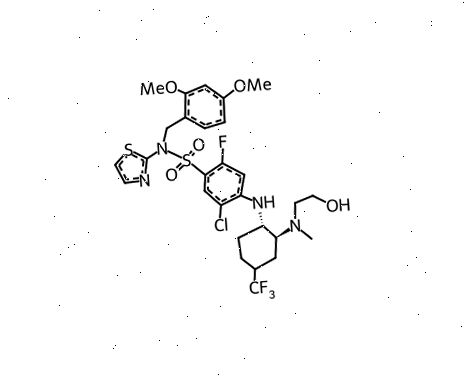 COc1ccc(CN(c2nccs2)S(=O)(=O)c2cc(Cl)c(N[C@H]3CCC(C(F)(F)F)C[C@@H]3N(C)CCO)cc2F)c(OC)c1